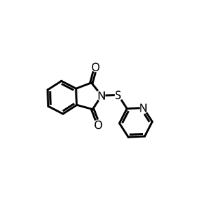 O=C1c2ccccc2C(=O)N1Sc1ccccn1